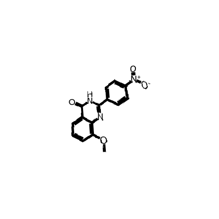 COc1cccc2c(=O)[nH]c(-c3ccc([N+](=O)[O-])cc3)nc12